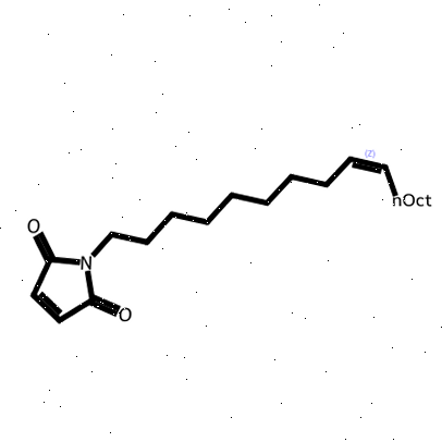 CCCCCCCC/C=C\CCCCCCCCN1C(=O)C=CC1=O